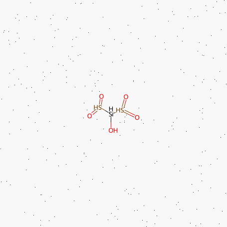 O=[SH](=O)[SiH](O)[SH](=O)=O